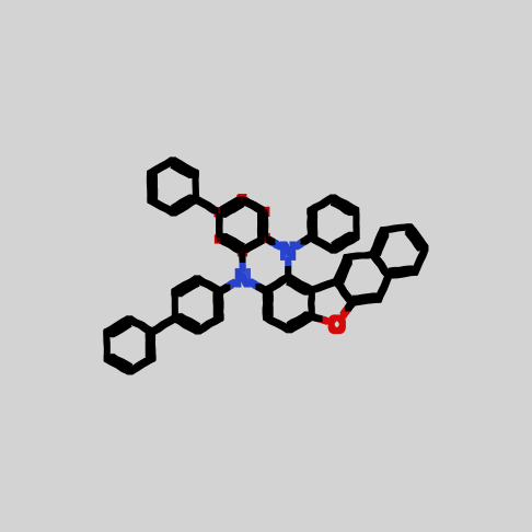 c1ccc(-c2ccc(N(c3ccccc3)c3ccc4oc5cc6ccccc6cc5c4c3N(c3ccccc3)c3ccc(-c4ccccc4)cc3)cc2)cc1